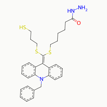 NNC(=O)CCCCCSC(SCCCS)=C1c2ccccc2N(Cc2ccccc2)c2ccccc21